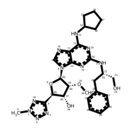 Cn1nnc([C@H]2O[C@@H](n3cnc4c(NC5CCCC5)nc(N[C@H](CO)Cc5ccccc5)nc43)[C@H](OC=O)[C@@H]2O)n1